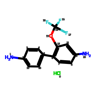 Cl.Nc1ccc(-c2ccc(N)cc2OC(F)(F)F)cc1